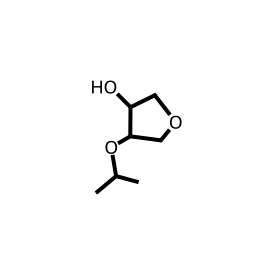 CC(C)OC1COCC1O